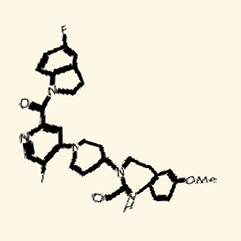 COc1ccc2c(c1)CCN(C1CCN(c3cc(C(=O)N4CCc5cc(F)ccc54)ncc3I)CC1)C(=O)N2